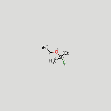 CC[Si](C)(Cl)OCC(C)C